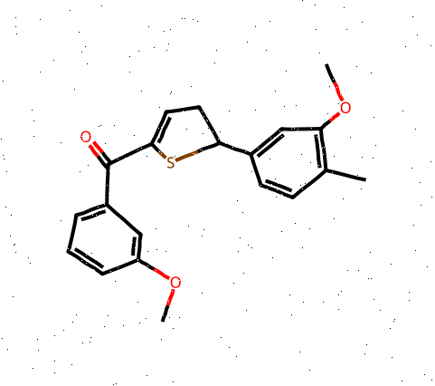 COc1cccc(C(=O)C2=CCC(c3ccc(C)c(OC)c3)S2)c1